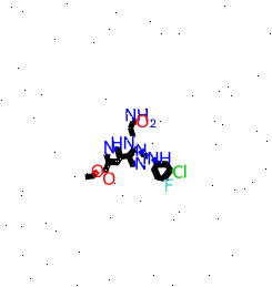 CCOC(=O)c1cncc(-c2cnc(Nc3ccc(F)c(Cl)c3)nc2NCCC(N)=O)c1